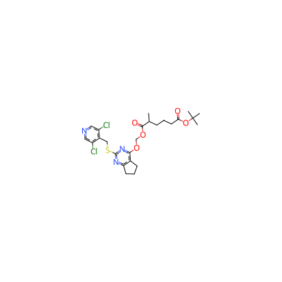 CC(CCCC(=O)OC(C)(C)C)C(=O)OCOc1nc(SCc2c(Cl)cncc2Cl)nc2c1CCC2